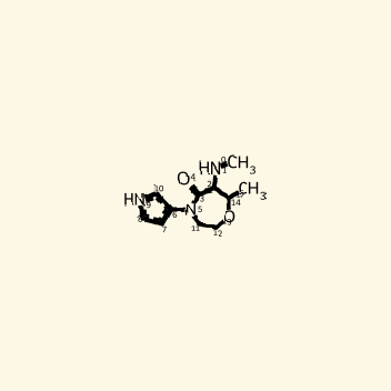 CNC1C(=O)N(c2cc[nH]c2)CCOC1C